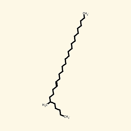 [CH2]CCCCCCCCCCCCCCCCCC=CCCCC(C)CCCC[CH2]